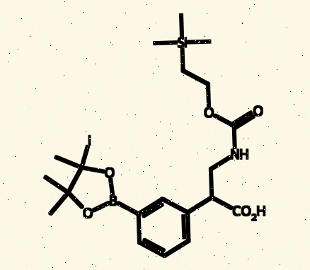 CC1(C)OB(c2cccc(C(CNC(=O)OCC[Si](C)(C)C)C(=O)O)c2)OC1(C)I